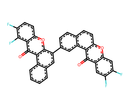 O=c1c2cc(F)c(F)cc2oc2ccc3ccc(-c4cc5ccccc5c5c(=O)c6c(F)c(F)ccc6oc45)cc3c12